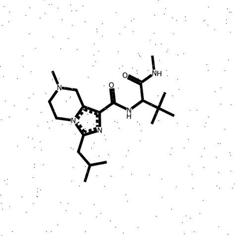 CNC(=O)C(NC(=O)c1nc(CC(C)C)n2c1CN(C)CC2)C(C)(C)C